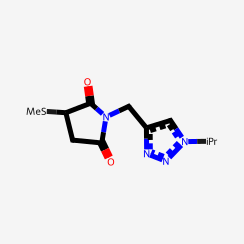 CSC1CC(=O)N(Cc2cn(C(C)C)nn2)C1=O